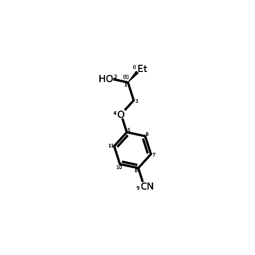 CC[C@H](O)COc1ccc(C#N)cc1